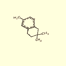 Cc1cnc2c(c1)CCC(C)(C)C2